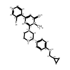 Cn1c(N2CCO[C@@H](c3ccc(OCC4CC4)cc3)C2)nc(-c2ccncc2F)cc1=O